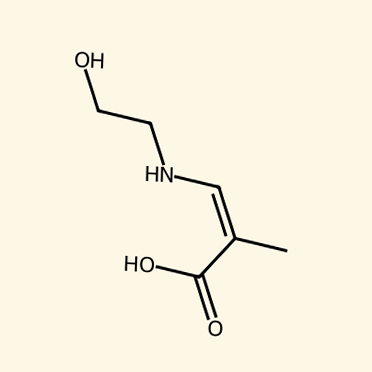 CC(=CNCCO)C(=O)O